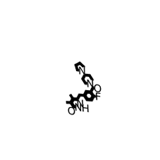 Cc1c(Cc2ccc(F)c(C(=O)N3CCC(N4CCCC4)CC3)c2)n[nH]c(=O)c1C